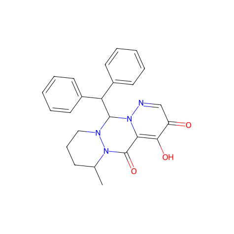 CC1CCCN2C(C(c3ccccc3)c3ccccc3)n3ncc(=O)c(O)c3C(=O)N12